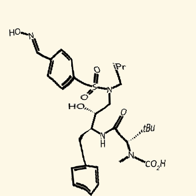 CC(C)CN(C[C@@H](O)[C@H](Cc1ccccc1)NC(=O)[C@@H](N(C)C(=O)O)C(C)(C)C)S(=O)(=O)c1ccc(C=NO)cc1